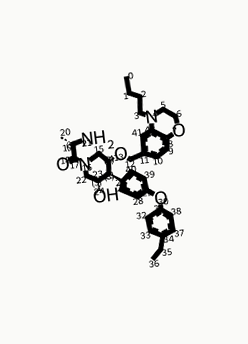 CCCCN1CCOc2ccc(CO[C@H]3CN(C(=O)[C@H](C)N)C[C@@H](O)[C@@H]3c3ccc(Oc4ccc(CC)cc4)cc3)cc21